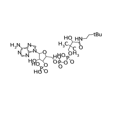 CC(C)(C)CCNC(=O)C(O)C(C)(C)COP(=O)(O)OP(=O)(O)OCC1OC(n2cnc3c(N)ncnc32)C(O)C1OP(=O)(O)O